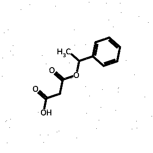 CC(OC(=O)CC(=O)O)c1ccccc1